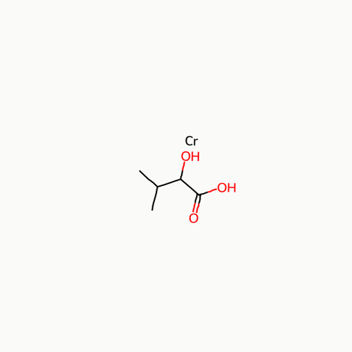 CC(C)C(O)C(=O)O.[Cr]